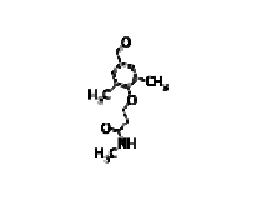 CNC(=O)CCOc1c(C)cc(C=O)cc1C